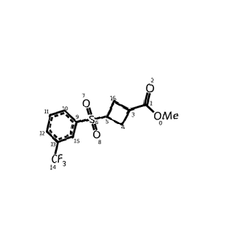 COC(=O)C1CC(S(=O)(=O)c2cccc(C(F)(F)F)c2)C1